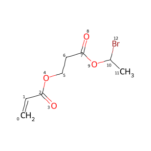 C=CC(=O)OCCC(=O)OC(C)Br